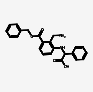 NCc1c(NC(C(=O)O)c2ccccc2)cccc1C(=O)OCc1ccccc1